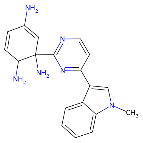 Cn1cc(-c2ccnc(C3(N)C=C(N)C=CC3N)n2)c2ccccc21